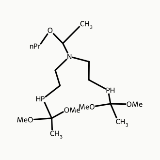 CCCOC(C)N(CCPC(C)(OC)OC)CCPC(C)(OC)OC